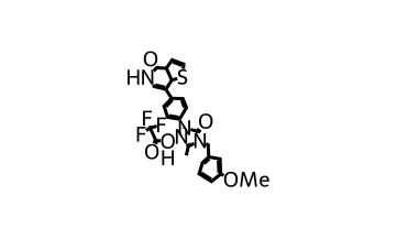 COc1cccc(Cn2c(C)nn(-c3ccc(C4=CNC(=O)C5C=CSC45)cc3)c2=O)c1.O=C(O)C(F)(F)F